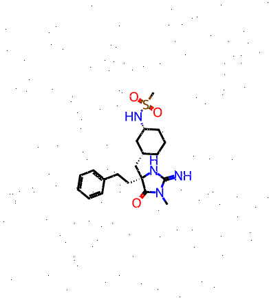 CN1C(=N)N[C@](CCc2ccccc2)(C[C@H]2CCC[C@@H](NS(C)(=O)=O)C2)C1=O